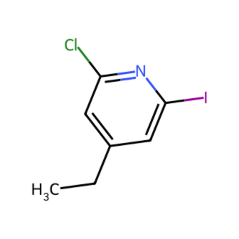 CCc1cc(Cl)nc(I)c1